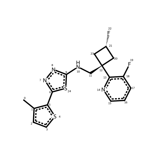 Cc1ccsc1-c1nnc(NC[C@]2(c3ncccc3F)C[C@@H](F)C2)s1